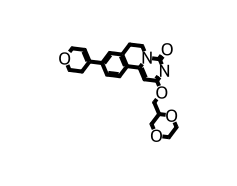 O=c1nc(OCC2COCCO2)cc2n1CCc1cc(C3=CCOCC3)ccc1-2